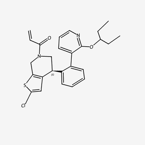 C=CC(=O)N1Cc2sc(Cl)cc2[C@H](c2ccccc2-c2cccnc2OC(CC)CC)C1